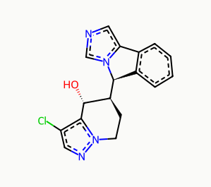 O[C@H]1c2c(Cl)cnn2CC[C@@H]1[C@@H]1c2ccccc2-c2cncn21